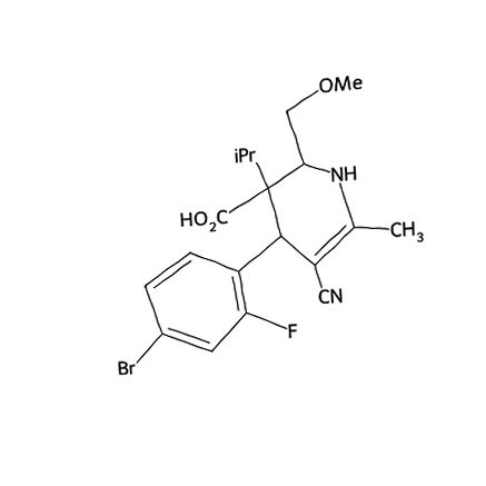 COCC1NC(C)=C(C#N)C(c2ccc(Br)cc2F)C1(C(=O)O)C(C)C